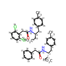 O=C(O)C[C@@H](Cc1ccc(C(F)(F)F)cc1)NC(=O)Cc1ccccc1.O=C(O)C[C@H](Cc1ccc(C(F)(F)F)cc1)NC(=O)Cc1c(Cl)cccc1Cl